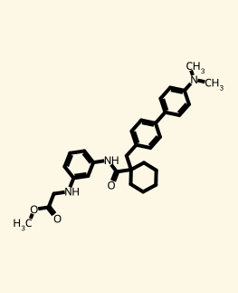 COC(=O)CNc1cccc(NC(=O)C2(Cc3ccc(-c4ccc(N(C)C)cc4)cc3)CCCCC2)c1